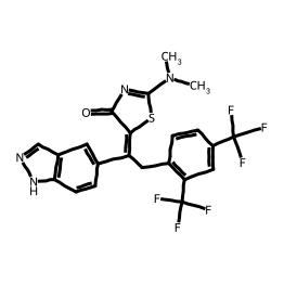 CN(C)C1=NC(=O)C(=C(Cc2ccc(C(F)(F)F)cc2C(F)(F)F)c2ccc3[nH]ncc3c2)S1